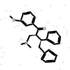 COc1cccc(C(=O)[C@H](CN(C)C)[C@H](Cc2ccccc2)c2ccccc2)c1